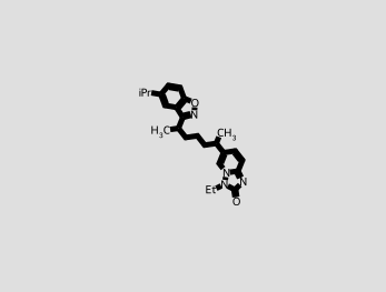 CCn1c(=O)nc2ccc(C(C)CCCC(C)c3noc4ccc(C(C)C)cc34)cn21